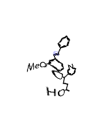 COc1cc(/C=C/c2ccccc2)ccc1OC(CCC(C)O)c1cccnc1